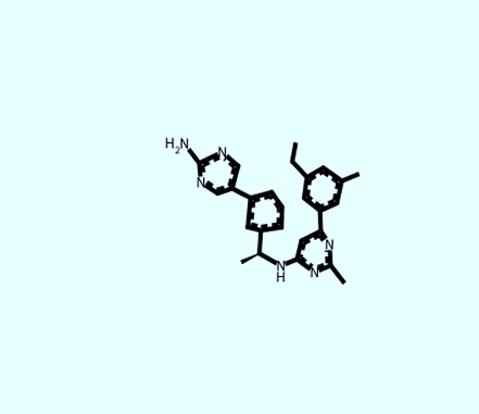 CCc1cc(C)cc(-c2cc(N[C@@H](C)c3cccc(-c4cnc(N)nc4)c3)nc(C)n2)c1